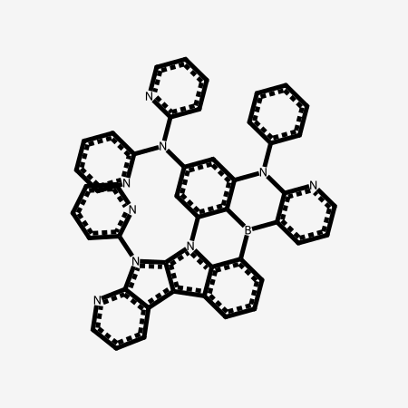 c1ccc(N2c3cc(N(c4ccccn4)c4ccccn4)cc4c3B(c3cccnc32)c2cccc3c5c6cccnc6n(-c6ccccn6)c5n-4c23)cc1